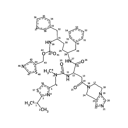 CC(C)c1nc(CN(C)C(=O)NC(CC(=O)N2CCn3cncc3C2)C(=O)NC(CCC(Cc2ccccc2)NC(=O)OCc2cncs2)Cc2ccccc2)cs1